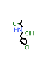 CC(Cl)CNCCC1=CCC(Cl)C=C1.Cl